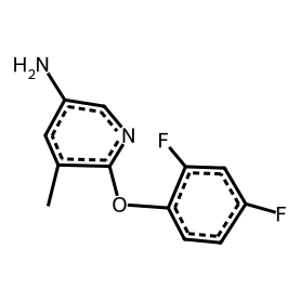 Cc1cc(N)cnc1Oc1ccc(F)cc1F